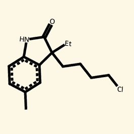 CCC1(CCCCCl)C(=O)Nc2ccc(C)cc21